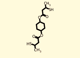 CC(S)CC(=O)OC1CCC(OC(=O)CC(C)S)CC1